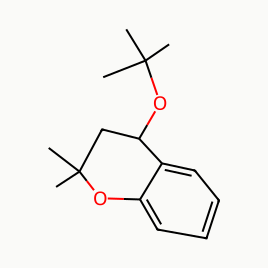 CC(C)(C)OC1CC(C)(C)Oc2ccccc21